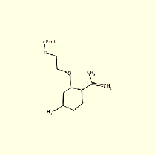 C=C(C)C1CCC(C)CC1OCCOCC[CH]CC